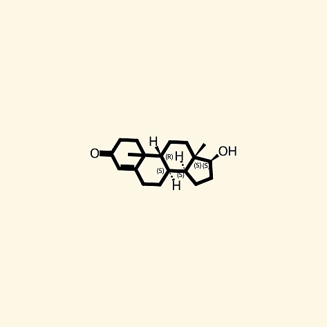 CC12CCC(=O)C=C1CC[C@H]1[C@H]2CC[C@]2(C)[C@@H](O)CC[C@@H]12